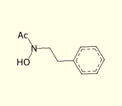 CC(=O)N(O)CCc1ccccc1